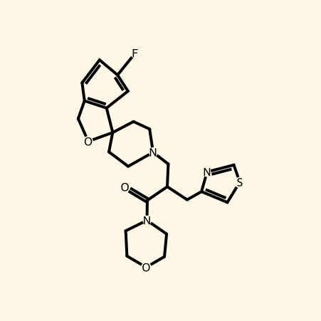 O=C(C(Cc1cscn1)CN1CCC2(CC1)OCc1ccc(F)cc12)N1CCOCC1